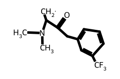 [CH2]C(C(=O)Cc1cccc(C(F)(F)F)c1)N(C)C